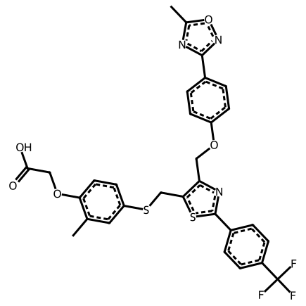 Cc1nc(-c2ccc(OCc3nc(-c4ccc(C(F)(F)F)cc4)sc3CSc3ccc(OCC(=O)O)c(C)c3)cc2)no1